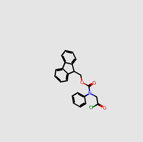 O=C(Cl)CN(C(=O)OCC1c2ccccc2-c2ccccc21)c1ccccc1